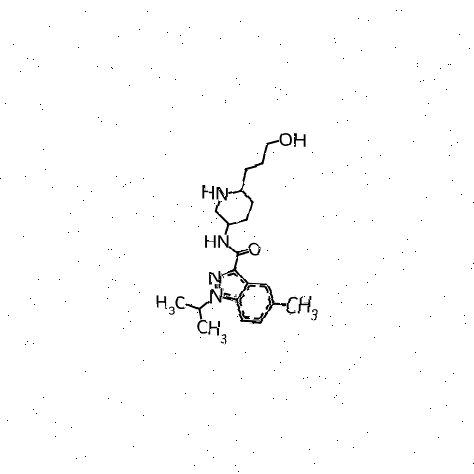 Cc1ccc2c(c1)c(C(=O)NC1CCC(CCCO)NC1)nn2C(C)C